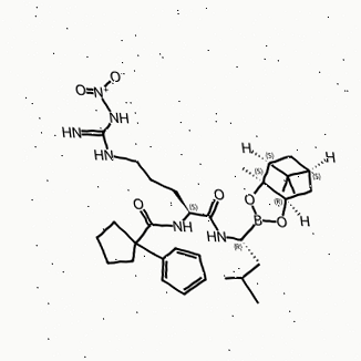 CC(C)C[C@H](NC(=O)[C@H](CCCNC(=N)N[N+](=O)[O-])NC(=O)C1(c2ccccc2)CCCC1)B1O[C@@H]2C[C@@H]3C[C@@H](C3(C)C)[C@]2(C)O1